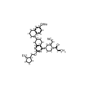 C=CC(=O)N1CCN(c2nc(OCC3CCCN3CC)nc3c2CCC(N2CCCc4cc(OC)ccc42)C3)CC1CC#N